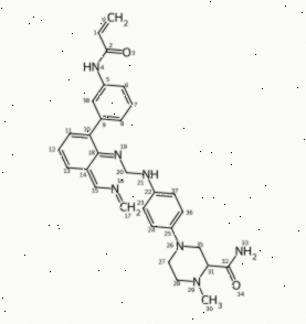 C=CC(=O)Nc1cccc(C2=CC=CC(=C/N=C)/C2=N\CNc2ccc(N3CCN(C)C(C(N)=O)C3)cc2)c1